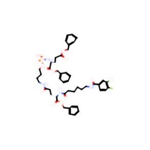 C[C@H](CCCOP(=O)(O)N[C@@H](CCC(=O)OCc1ccccc1)C(=O)OCc1ccccc1)NC(=O)CC[C@H](NC(=O)CCCCCNC(=O)c1ccc(F)c(Cl)c1)C(=O)OCc1ccccc1